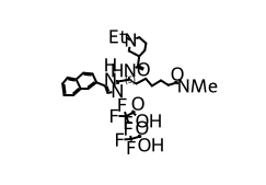 CCN1CCCC(C(=O)N[C@@H](CCCCCC(=O)NC)c2ncc(-c3ccc4ccccc4c3)[nH]2)C1.O=C(O)C(F)(F)F.O=C(O)C(F)(F)F